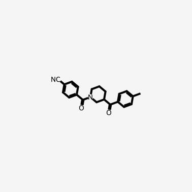 Cc1ccc(C(=O)C2CCCN(C(=O)c3ccc(C#N)cc3)C2)cc1